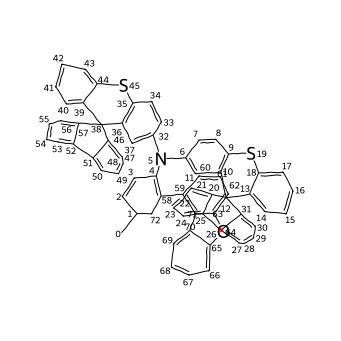 CC1C=CC(N(c2ccc3c(c2)C2(c4ccccc4S3)c3ccccc3-c3ccccc32)c2ccc3c(c2)C2(c4ccccc4S3)c3ccccc3-c3ccccc32)=C(c2cccc3oc4ccccc4c23)C1